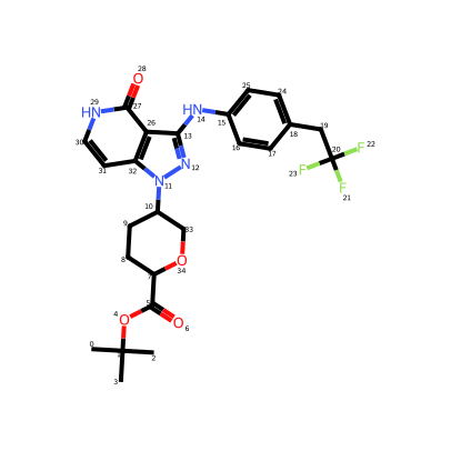 CC(C)(C)OC(=O)C1CCC(n2nc(Nc3ccc(CC(F)(F)F)cc3)c3c(=O)[nH]ccc32)CO1